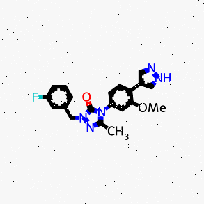 COc1cc(-n2c(C)nn(Cc3cccc(F)c3)c2=O)ccc1-c1cn[nH]c1